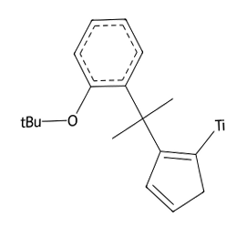 CC(C)(C)Oc1ccccc1C(C)(C)C1=[C]([Ti])CC=C1